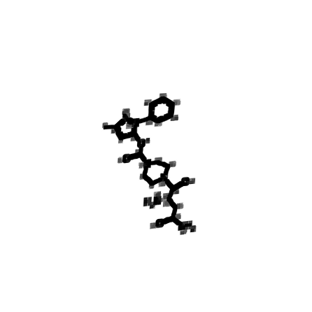 Cc1cc(OC(=O)N2CCN(C(=O)[C@@H](N)CC(N)=O)CC2)n(-c2ccccc2)n1